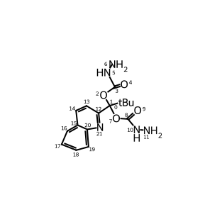 CC(C)(C)C(OC(=O)NN)(OC(=O)NN)c1ccc2ccccc2n1